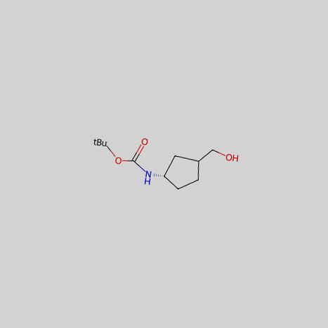 CC(C)(C)OC(=O)N[C@H]1CCC(CO)C1